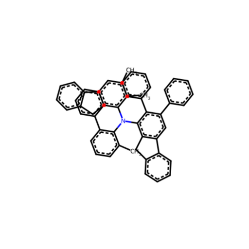 Cc1cc2c(c(N(c3c(C)cccc3-c3ccccc3)c3c4c(cc(-c5ccccc5)c3-c3ccccc3)-c3ccccc3C4)c1C)Cc1ccccc1-2